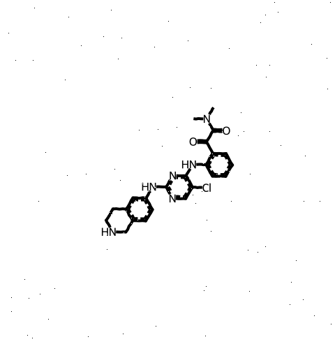 CN(C)C(=O)C(=O)c1ccccc1Nc1nc(Nc2ccc3c(c2)CCNC3)ncc1Cl